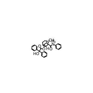 C[N+]12CCC(CC1)[C@@H](OC(=O)C(O)(c1ccccc1)c1ccccc1)C2C(=O)Nc1ccccc1